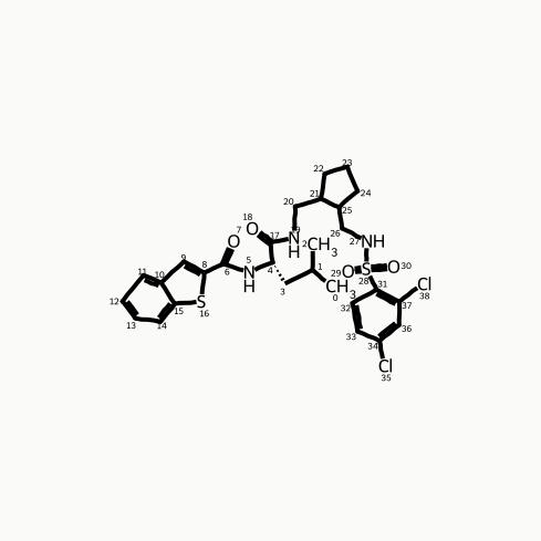 CC(C)C[C@H](NC(=O)c1cc2ccccc2s1)C(=O)NCC1CCCC1CNS(=O)(=O)c1ccc(Cl)cc1Cl